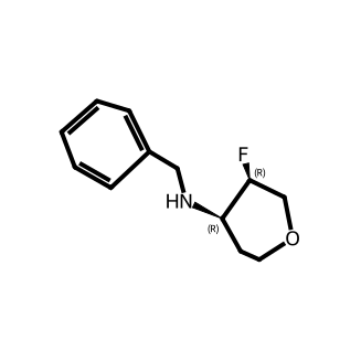 F[C@H]1COCC[C@H]1NCc1ccccc1